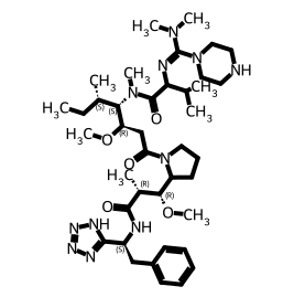 CC[C@H](C)[C@@H]([C@@H](CC(=O)N1CCCC1[C@H](OC)[C@@H](C)C(=O)N[C@@H](Cc1ccccc1)c1nnn[nH]1)OC)N(C)C(=O)C(N=C(N(C)C)N1CCNCC1)C(C)C